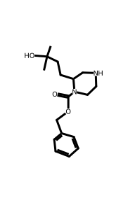 CC(C)(O)CCC1CNCCN1C(=O)OCc1ccccc1